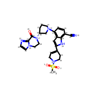 CS(=O)(=O)N1CC=C(c2cc3c(N4CCC[C@@H](N5CCn6ccnc6C5=O)C4)ccc(C#N)c3[nH]2)CC1